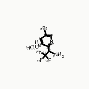 Cl.Cl.NC(c1ccc(Br)cn1)C(F)(F)F